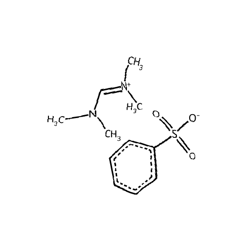 CN(C)C=[N+](C)C.O=S(=O)([O-])c1ccccc1